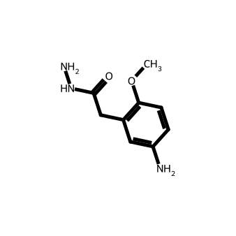 COc1ccc(N)cc1CC(=O)NN